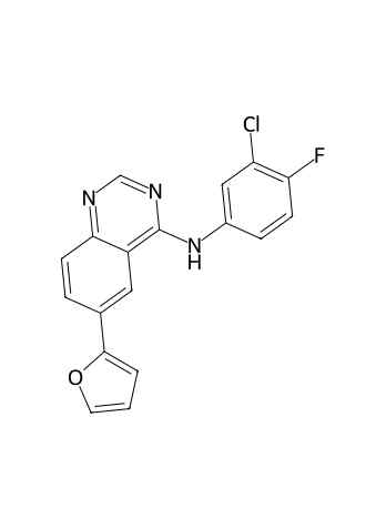 Fc1ccc(Nc2ncnc3ccc(-c4ccco4)cc23)cc1Cl